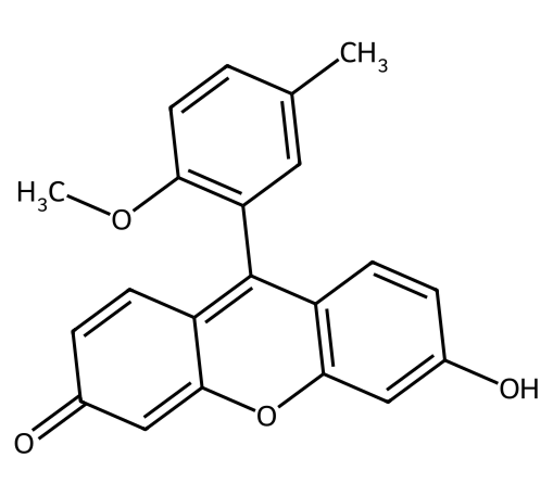 COc1ccc(C)cc1-c1c2ccc(=O)cc-2oc2cc(O)ccc12